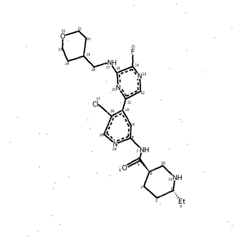 CC[C@@H]1CC[C@@H](C(=O)Nc2cc(-c3cnc(F)c(NCC4CCOCC4)n3)c(Cl)cn2)CN1